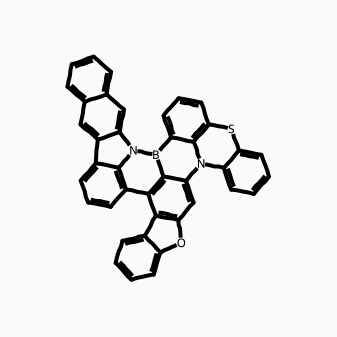 c1ccc2c(c1)Sc1cccc3c1N2c1cc2oc4ccccc4c2c2c1B3n1c3cc4ccccc4cc3c3cccc-2c31